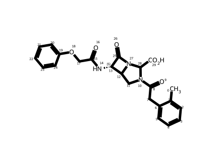 Cc1ccccc1CC(=O)N1CC2[C@H](NC(=O)COc3ccccc3)C(=O)N2C1C(=O)O